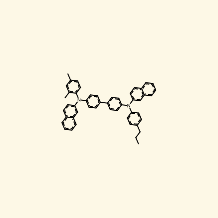 CCCc1ccc(N(c2ccc(-c3ccc(N(c4ccc5ccccc5c4)c4ccc(C)cc4C)cc3)cc2)c2ccc3ccccc3c2)cc1